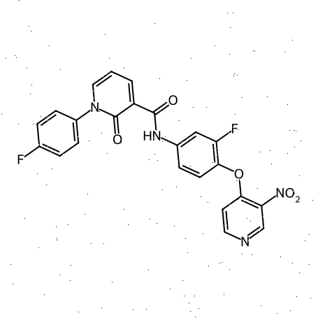 O=C(Nc1ccc(Oc2ccncc2[N+](=O)[O-])c(F)c1)c1cccn(-c2ccc(F)cc2)c1=O